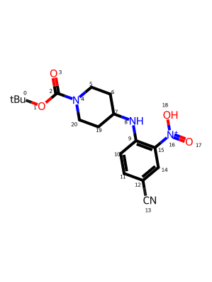 CC(C)(C)OC(=O)N1CCC(Nc2ccc(C#N)cc2[N+](=O)O)CC1